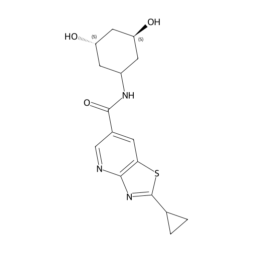 O=C(NC1C[C@H](O)C[C@@H](O)C1)c1cnc2nc(C3CC3)sc2c1